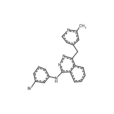 Cc1cc(Cc2nnc(Nc3cccc(Br)c3)c3ccccc23)ccn1